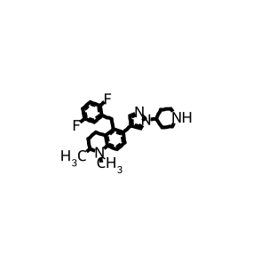 CC1CCc2c(ccc(-c3cnn(C4CCNCC4)c3)c2Cc2cc(F)ccc2F)N1C